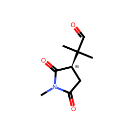 CN1C(=O)C[C@H](C(C)(C)C=O)C1=O